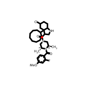 COc1ccc(C(=O)N2[C@H](C)CN(C(=O)C3CNC4CCC(Cl)CC43C3CCCCCCCC3)C[C@H]2C)c(F)c1